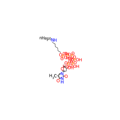 CCCCCCCNCCCCCCOP(=O)(O)OP(=O)(O)OP(=O)(O)OP(=O)(O)OP(=O)(O)OP(=O)(O)OC[C@H]1O[C@@H](n2cc(C)c(=O)[nH]c2=O)CC1O